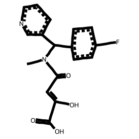 CN(C(=O)C=C(O)C(=O)O)C(c1ccc(F)cc1)c1cccnc1